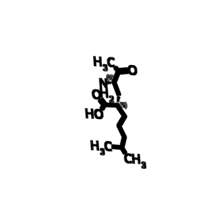 CC(=O)[C@@H](N)C[C@H](CCCC(C)C)C(=O)O